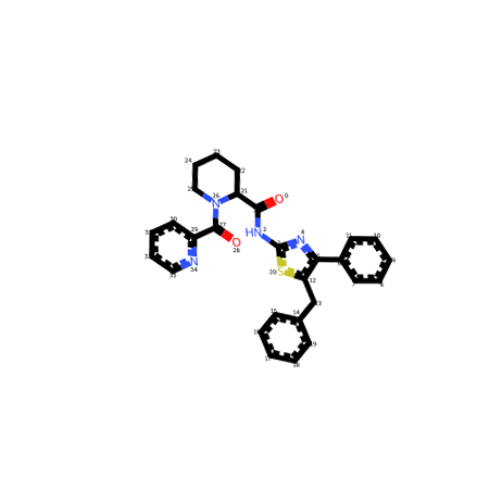 O=C(Nc1nc(-c2ccccc2)c(Cc2ccccc2)s1)C1CCCCN1C(=O)c1ccccn1